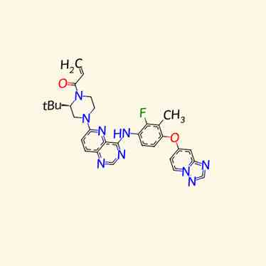 C=CC(=O)N1CCN(c2ccc3ncnc(Nc4ccc(Oc5ccn6ncnc6c5)c(C)c4F)c3n2)C[C@H]1C(C)(C)C